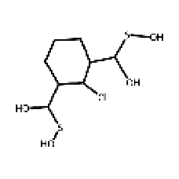 OSC(O)C1CCCC(C(O)SO)C1Cl